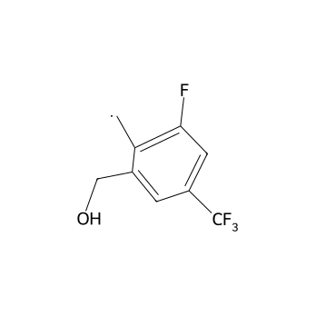 [CH2]c1c(F)cc(C(F)(F)F)cc1CO